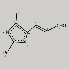 Cc1nc(C(C)C)sc1/C=C/C=O